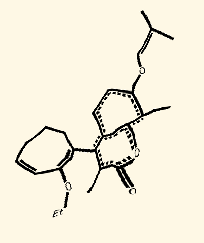 CCOC1=C(c2c(C)c(=O)oc3c(C)c(OC=C(C)C)ccc23)CCCC=C1